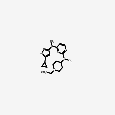 CCOC(=O)CN1CCC(N(C)c2nccc(N(C)c3cc(C4CC4)[nH]n3)n2)CC1